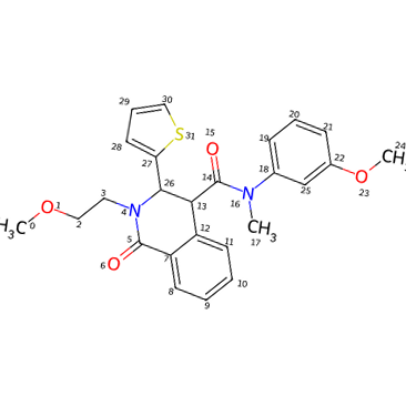 COCCN1C(=O)c2ccccc2C(C(=O)N(C)c2cccc(OC)c2)C1c1cccs1